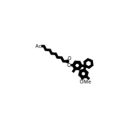 COc1ccc(C2(c3ccc(OC(=O)CCCCCCCCC(C)=O)c(C)c3)CCCCC2)cc1C